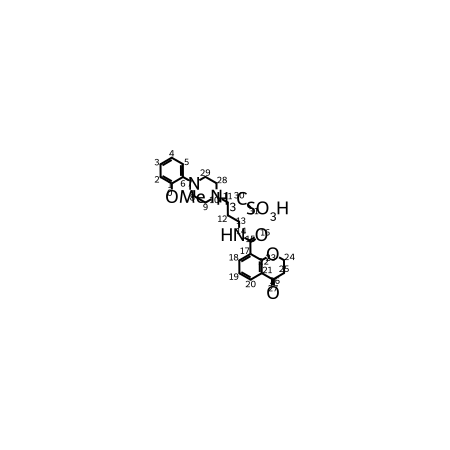 COc1ccccc1N1CCN(CCCNC(=O)c2cccc3c2OCCC3=O)CC1.CS(=O)(=O)O